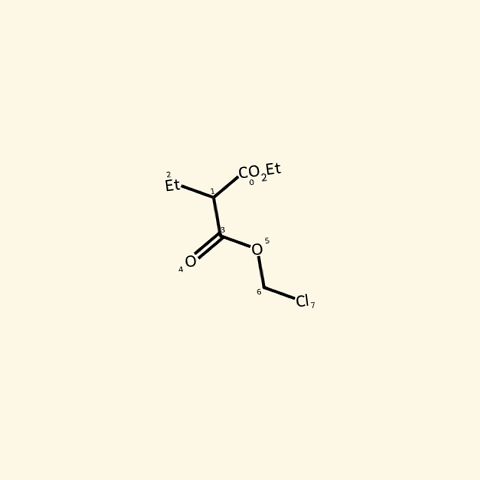 CCOC(=O)C(CC)C(=O)OCCl